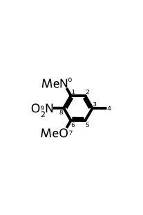 CNc1cc(C)cc(OC)c1[N+](=O)[O-]